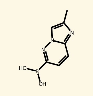 Cc1cn2nc(B(O)O)ccc2n1